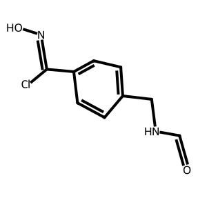 O=CNCc1ccc(C(Cl)=NO)cc1